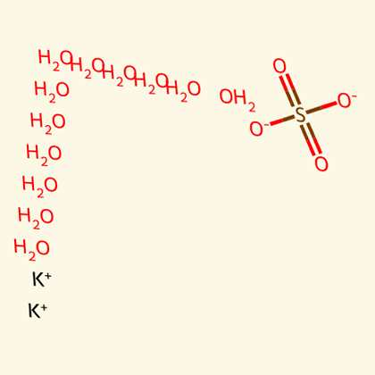 O.O.O.O.O.O.O.O.O.O.O.O.O=S(=O)([O-])[O-].[K+].[K+]